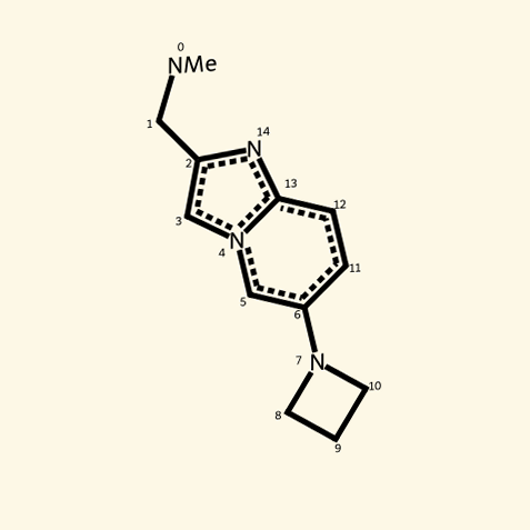 CNCc1cn2cc(N3CCC3)ccc2n1